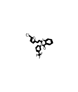 O=c1c2ccccc2nc(/C=C/c2ccc(Cl)o2)n1-c1cccc(C(F)(F)F)c1